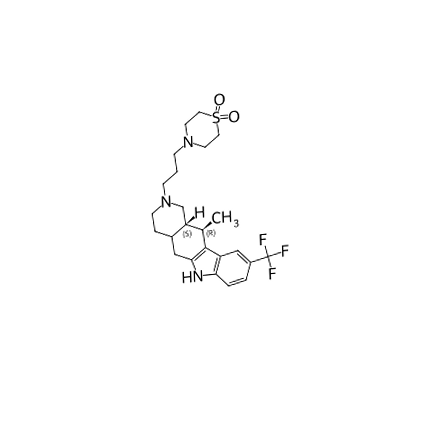 C[C@H]1c2c([nH]c3ccc(C(F)(F)F)cc23)CC2CCN(CCCN3CCS(=O)(=O)CC3)C[C@@H]21